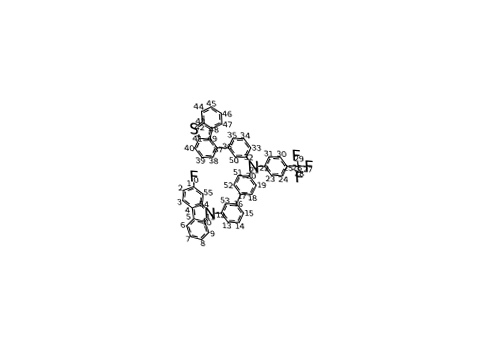 Fc1ccc2c3ccccc3n(-c3cccc(-c4ccc(N(c5ccc(C(F)(F)F)cc5)c5cccc(-c6cccc7sc8ccccc8c67)c5)cc4)c3)c2c1